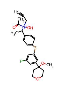 C#CC[N+](O)(C(C)=O)C(C)c1ccc(Sc2cc(F)cc(C3(OC)CCOCC3)c2)cc1